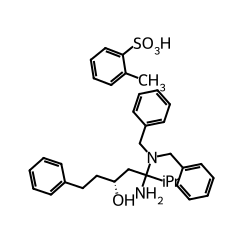 CC(C)C(N)(C[C@H](O)CCc1ccccc1)N(Cc1ccccc1)Cc1ccccc1.Cc1ccccc1S(=O)(=O)O